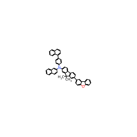 CC1(C)c2cc(-c3ccc4oc5ccccc5c4c3)ccc2-c2ccc(N(c3ccc(-c4cccc5ccccc45)cc3)c3ccc4ccccc4c3)cc21